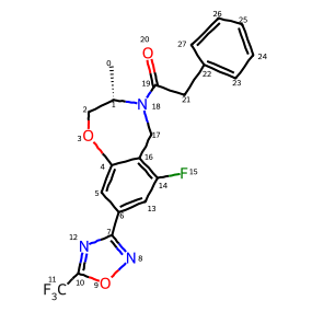 C[C@H]1COc2cc(-c3noc(C(F)(F)F)n3)cc(F)c2CN1C(=O)Cc1ccccc1